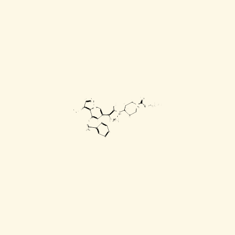 Cc1c(-c2cc(O[C@@H](c3ccccc3)C(F)(F)F)c3c(C#N)cnn3c2)nnn1C1CCN(C(=O)OC(C)(C)C)CC1